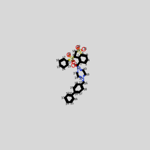 O=C(c1cccc2c1C(S(=O)(=O)c1ccccc1)CS2(=O)=O)N1CCN(Cc2ccc(-c3ccccc3)cc2)CC1